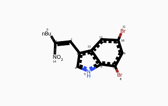 CCCCC(=Cc1c[nH]c2c(Br)cc(Br)cc12)[N+](=O)[O-]